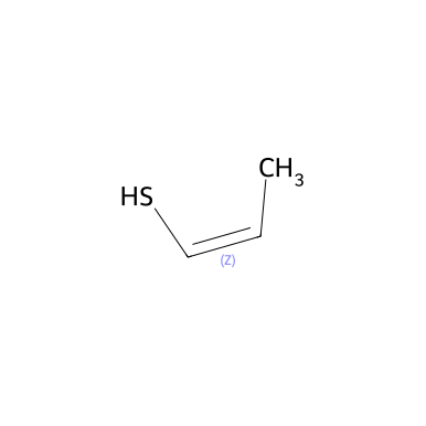 C/C=C\S